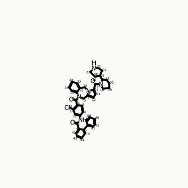 O=C(Nc1ccc(C(=O)N2Cc3ccc(C(=O)N4CCCCC4C4CCNCC4)n3Cc3ccccc32)c(Cl)c1)c1ccccc1-c1ccccc1